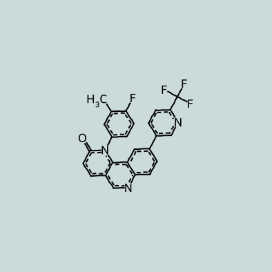 Cc1cc(-n2c(=O)ccc3cnc4ccc(-c5ccc(C(F)(F)F)nc5)cc4c32)ccc1F